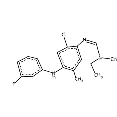 CCN(C)/C=N\c1cc(C)c(Nc2cccc(F)c2)cc1Cl